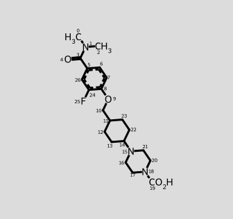 CN(C)C(=O)c1ccc(OCC2CCC(N3CCN(C(=O)O)CC3)CC2)c(F)c1